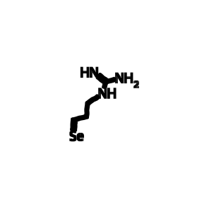 N=C(N)NCCC=[Se]